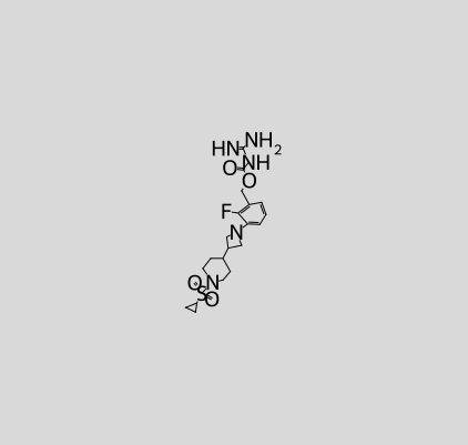 N=C(N)NC(=O)OCc1cccc(N2CC(C3CCN(S(=O)(=O)C4CC4)CC3)C2)c1F